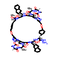 C[C@@H](C(=O)N[C@H](C(=O)N1C[C@@H]2C[C@H]1C(=O)N[C@@H](Cc1ccc3ccccc3c1)C(=O)N[C@H](C(=O)NN)Cc1ccc(cc1)OCc1cn(nn1)[C@H]1C[C@@H](C(=O)N[C@@H](Cc3ccc4ccccc4c3)C(=O)N[C@H](C(=O)OC(C)(C)C)Cc3ccc(cc3)OCc3cn2nn3)N(C(=O)[C@@H](NC(=O)[C@H](C)N(C)C(=O)OC(C)(C)C)C(C)(C)C)C1)C(C)(C)C)N(C)C(=O)OC(C)(C)C